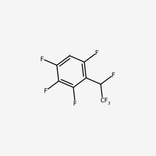 Fc1[c]c(F)c(C(F)C(F)(F)F)c(F)c1F